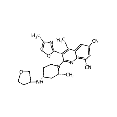 Cc1noc(-c2c(N3CC[C@@H](NC4CCOC4)C[C@H]3C)nc3c(C#N)cc(C#N)cc3c2C)n1